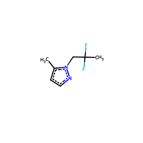 Cc1ccnn1CC(C)(F)F